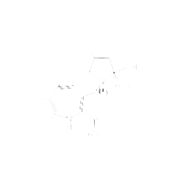 CC1C[SiH2]C(C)(C)C1.CCC1=C(N)C=CC=CN1